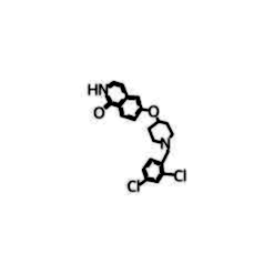 O=c1[nH]ccc2cc(OC3CCN(Cc4ccc(Cl)cc4Cl)CC3)ccc12